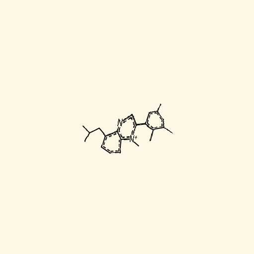 Cc1cc(C)c(C)c(-c2cnc3c(CC(C)C)cccc3[n+]2C)c1